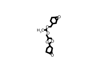 CC(OCC1CCC2OC2C1)OCC1COC(C2CCC3OC3C2)O1